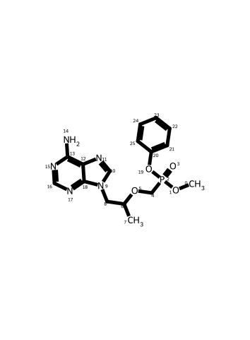 COP(=O)(COC(C)Cn1cnc2c(N)ncnc21)Oc1ccccc1